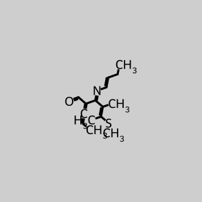 CC=C=C(C=O)C(=N/C=C/CC)/C(C)=C(\C)SC